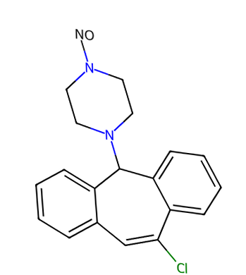 O=NN1CCN(C2c3ccccc3C=C(Cl)c3ccccc32)CC1